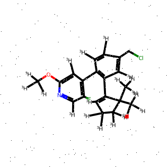 [3H]C1=C(c2c([3H])c(CCl)c([3H])c([3H])c2-c2c([3H])c(OC([3H])([3H])[3H])nc([3H])c2F)C(C([3H])([3H])[3H])(C([3H])([3H])[3H])C([3H])([3H])C1([3H])[3H]